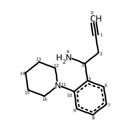 C#CCC(N)c1ccccc1N1CCCCC1